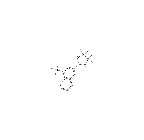 CC1(C)OB(c2cc([Si](C)(C)C)c3ccccc3c2)OC1(C)C